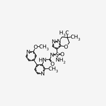 COc1cc(-c2ccnc(C)c2NC(=O)N=S(N)(=O)c2cnn3c2OCC(C)(C)C3)ccn1